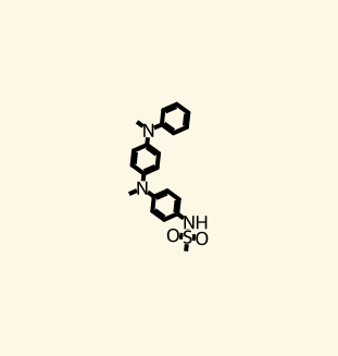 CN(c1ccccc1)c1ccc(N(C)c2ccc(NS(C)(=O)=O)cc2)cc1